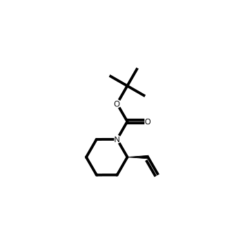 C=C[C@H]1CCCCN1C(=O)OC(C)(C)C